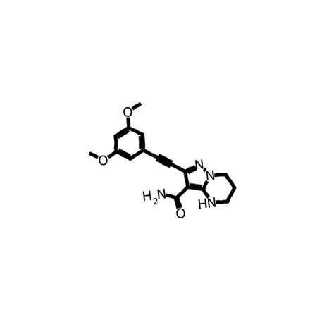 COc1cc(C#Cc2nn3c(c2C(N)=O)NCCC3)cc(OC)c1